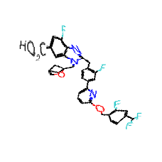 O=C(O)c1cc(F)c2nc(Cc3ccc(-c4cccc(OCc5ccc(C(F)F)cc5F)n4)cc3F)n(CC34CC(CO3)C4)c2c1